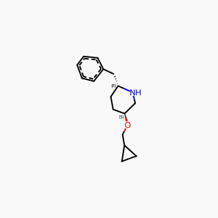 c1ccc(C[C@H]2CC[C@H](OCC3CC3)CN2)cc1